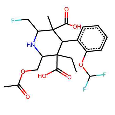 CCC1(C(=O)O)C(COC(C)=O)NC(CF)C(C)(C(=O)O)C1c1ccccc1OC(F)F